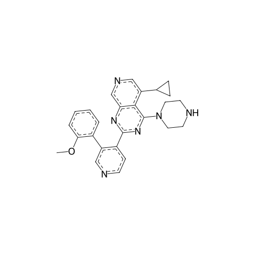 COc1ccccc1-c1cnccc1-c1nc(N2CCNCC2)c2c(C3CC3)cncc2n1